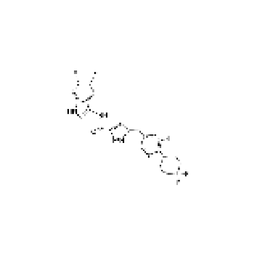 O=C(Nc1c[nH]c2cc(F)c(F)cc12)c1cn(Cc2cnc(C3CCC(F)(F)CC3)c(F)c2)nn1